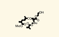 C=C(C)C(=O)OCCCC.C=C(C)C(=O)OCCO.C=C(CC=C(C)C(=O)O)C(=O)OC